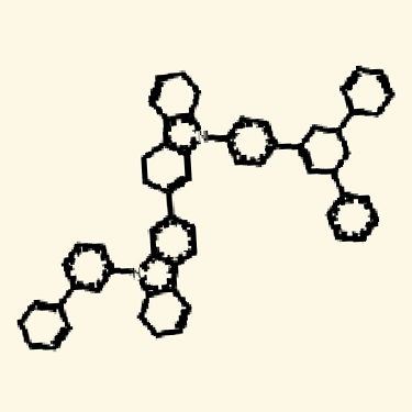 C1=CCC(C2CC(c3ccc(-n4c5c(c6c4CCC=C6)CCC(c4ccc6c7c(n(-c8cccc(C9=CCCC=C9)c8)c6c4)CCC=C7)=C5)cc3)=CC(c3ccccc3)C2)C=C1